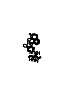 CCc1[nH]nc(C)c1Nc1cc(Nc2cccc3c2C(=O)N(C)CC3)c(Cl)cn1